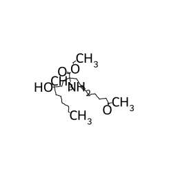 CCCCCCC(C)(O)CCC(N)(CC#CCCCCC(C)=O)C(=O)OCC